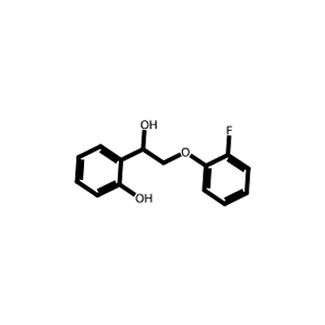 Oc1ccccc1C(O)COc1ccccc1F